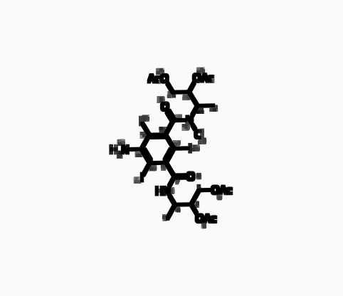 CC(=O)OCC(OC(C)=O)C(C)NC(=O)c1c(I)c(N)c(I)c(C(=O)N(Cl)C(C)C(COC(C)=O)OC(C)=O)c1I